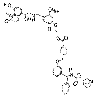 COc1cc(OCCOC(=O)c2ccc(COc3cccc([C@@H](NC(=O)OC4CN5CCC4CC5)c4ccccc4)c3)cc2)c(Cl)cc1CNCC(O)c1ccc(O)c2[nH]c(=O)ccc12